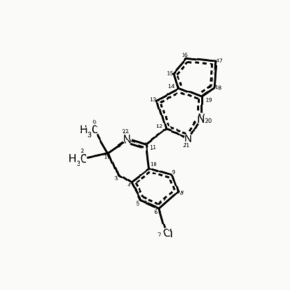 CC1(C)Cc2cc(Cl)ccc2C(c2cc3ccccc3nn2)=N1